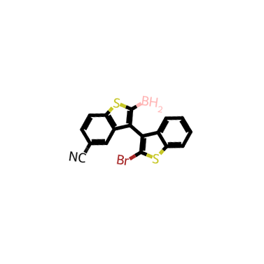 Bc1sc2ccc(C#N)cc2c1-c1c(Br)sc2ccccc12